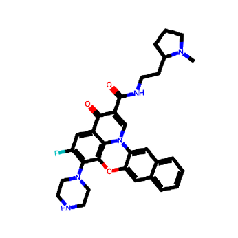 CN1CCCC1CCNC(=O)c1cn2c3c(c(N4CCNCC4)c(F)cc3c1=O)Oc1cc3ccccc3cc1-2